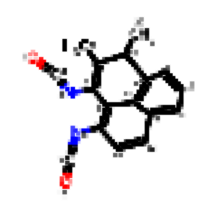 CC1=C(N=C=O)c2c(N=C=O)ccc3cccc(c23)C1C